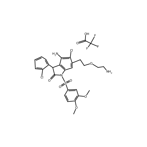 COc1ccc(S(=O)(=O)N2C(=O)C(c3ccccc3Cl)c3c2cc(CCOCCN)c(Cl)c3N)cc1OC.O=C(O)C(F)(F)F